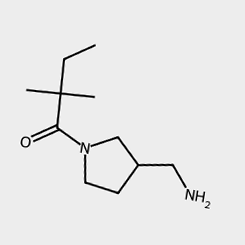 CCC(C)(C)C(=O)N1CCC(CN)C1